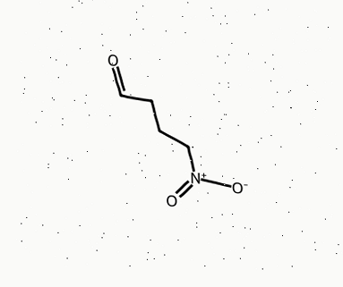 O=CCC[CH][N+](=O)[O-]